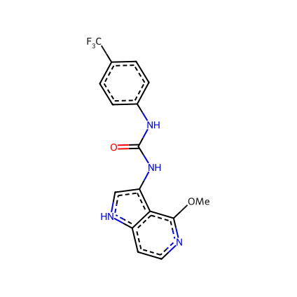 COc1nccc2[nH]cc(NC(=O)Nc3ccc(C(F)(F)F)cc3)c12